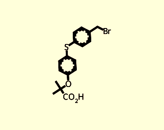 CC(C)(Oc1ccc(Sc2ccc(CBr)cc2)cc1)C(=O)O